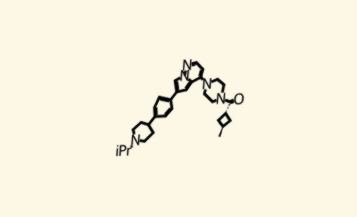 CC(C)N1CCC(c2ccc(-c3cc4c(N5CCN(C(=O)[C@H]6C[C@H](C)C6)CC5)ccnn4c3)cc2)CC1